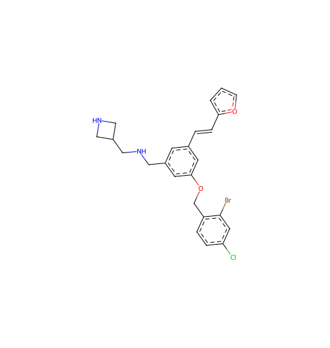 Clc1ccc(COc2cc(C=Cc3ccco3)cc(CNCC3CNC3)c2)c(Br)c1